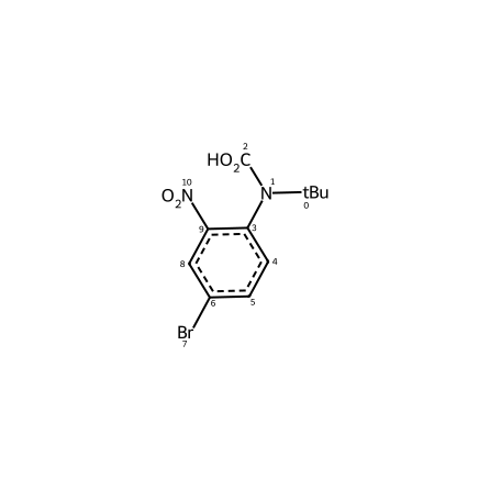 CC(C)(C)N(C(=O)O)c1ccc(Br)cc1[N+](=O)[O-]